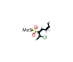 C/C=C\C=C(/C(C)Cl)S(=O)(=O)SC